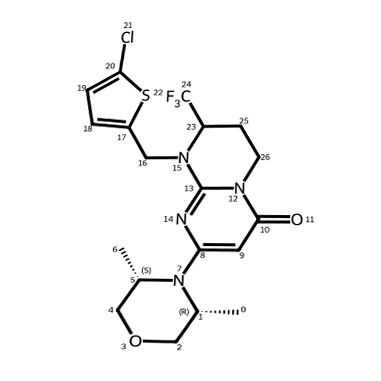 C[C@@H]1COC[C@H](C)N1c1cc(=O)n2c(n1)N(Cc1ccc(Cl)s1)C(C(F)(F)F)CC2